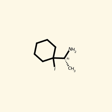 C[C@@H](N)C1(I)CCCCC1